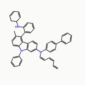 C=C/C=C\C=C/N(c1ccc(-c2ccccc2)cc1)c1ccc2c3c(-c4ccccc4NC4C=CC=CC4)c(C)ccc3n(-c3ccccc3)c2c1